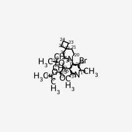 Cc1nc(C)c([C@H](OC(C)(C)C)C(=O)OC(C)C)c(N2CCC3(CCC3)CC2)c1Br